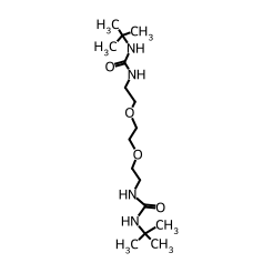 CC(C)(C)NC(=O)NCCOCCOCCNC(=O)NC(C)(C)C